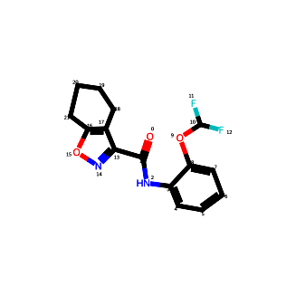 O=C(Nc1ccccc1OC(F)F)c1noc2c1CCCC2